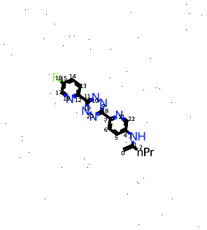 C=C(CCC)Nc1ccc(-c2nnc(-c3ccc(F)cn3)nn2)nc1